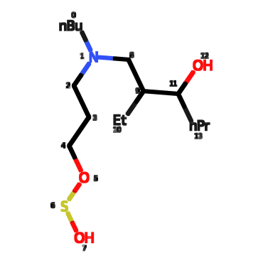 CCCCN(CCCOSO)CC(CC)C(O)CCC